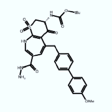 COc1ccc(-c2ccc(CC3=CC(C(=O)NN)=CNC4=C3C(=O)[C@@H](NC(=O)OC(C)(C)C)CS4(=O)=O)cc2)cc1